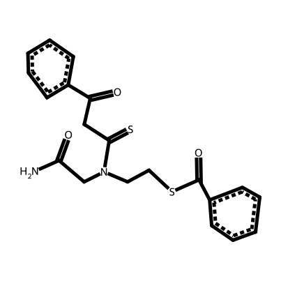 NC(=O)CN(CCSC(=O)c1ccccc1)C(=S)CC(=O)c1ccccc1